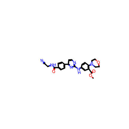 COC(=O)c1cc(Nc2nccc(-c3ccc(C(=O)NCC#N)cc3)n2)ccc1N1CCOCC1